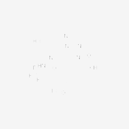 CCC1CN(C(=O)NCC(F)(F)F)CC1c1cnc2cnc3c(ccn3C(=O)C(C)c3ccc4cc(OC)ccc4c3)n12